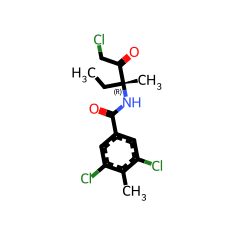 CC[C@@](C)(NC(=O)c1cc(Cl)c(C)c(Cl)c1)C(=O)CCl